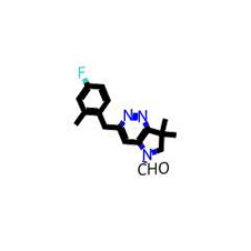 Cc1cc(F)ccc1Cc1cc2c(nn1)C(C)(C)CN2C=O